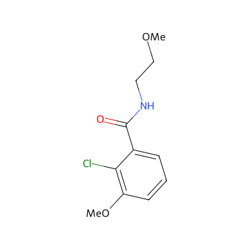 COCCNC(=O)c1cccc(OC)c1Cl